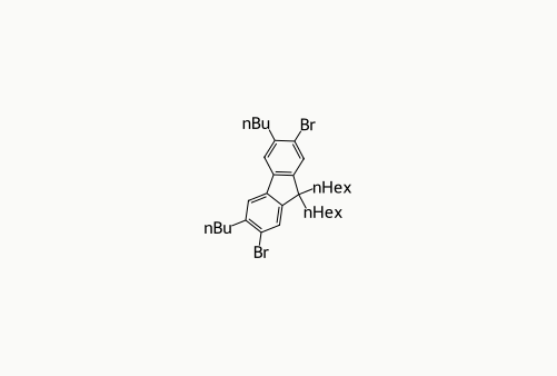 CCCCCCC1(CCCCCC)c2cc(Br)c(CCCC)cc2-c2cc(CCCC)c(Br)cc21